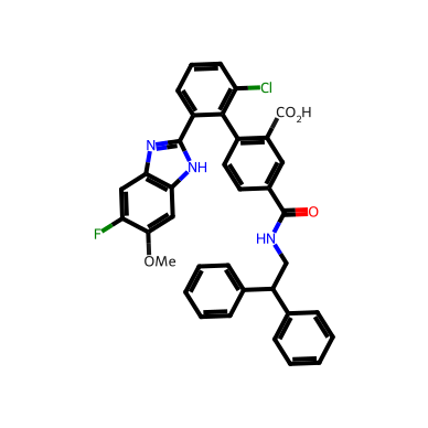 COc1cc2[nH]c(-c3cccc(Cl)c3-c3ccc(C(=O)NCC(c4ccccc4)c4ccccc4)cc3C(=O)O)nc2cc1F